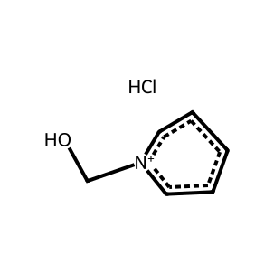 Cl.OC[n+]1ccccc1